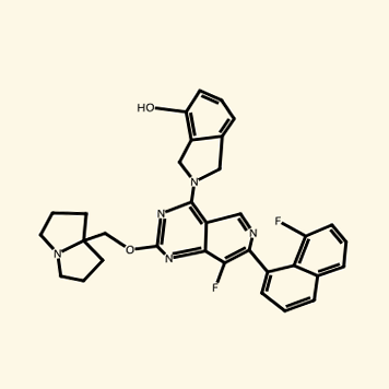 Oc1cccc2c1CN(c1nc(OCC34CCCN3CCC4)nc3c(F)c(-c4cccc5cccc(F)c45)ncc13)C2